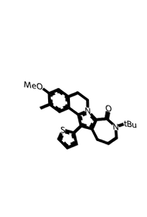 COc1cc2c(cc1C)-c1c(-c3cccs3)c3c(n1CC2)C(=O)N(C(C)(C)C)CCC3